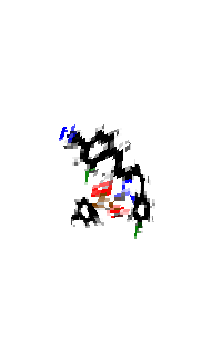 Cc1ccc(S(=O)(=O)N2c3cc(F)ccc3CCC2CCc2ccc(C#N)cc2F)cc1